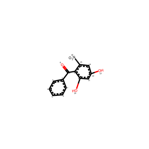 O=C(c1ccccc1)c1c(O)cc(O)cc1[N+](=O)[O-]